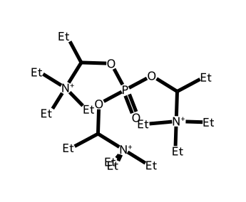 CCC(OP(=O)(OC(CC)[N+](CC)(CC)CC)OC(CC)[N+](CC)(CC)CC)[N+](CC)(CC)CC